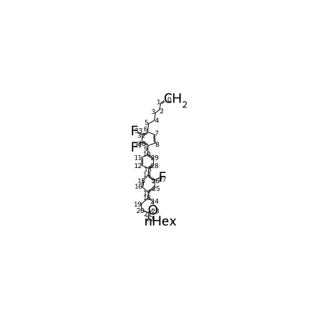 C=CCCCCc1ccc(-c2ccc(-c3ccc(C4CCC(CCCCCC)OC4)cc3F)cc2)c(F)c1F